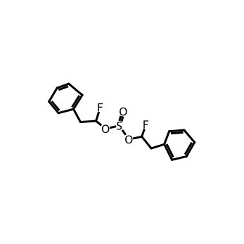 O=S(OC(F)Cc1ccccc1)OC(F)Cc1ccccc1